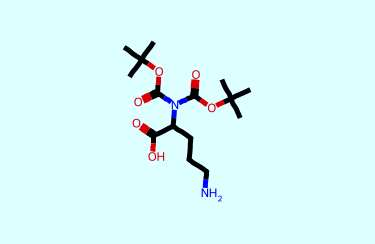 CC(C)(C)OC(=O)N(C(=O)OC(C)(C)C)C(CCCN)C(=O)O